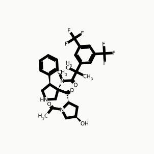 CC(=O)N1C[C@H](O)C[C@H]1C(=O)[C@@]1(N(C)C(=O)C(C)(C)c2cc(C(F)(F)F)cc(C(F)(F)F)c2)CNC[C@H]1c1ccccc1